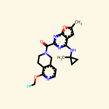 Cc1cc2c(NC3(C)CC3)nc(C(=O)N3CCc4c(ccnc4OCF)C3)nc2o1